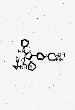 N#CC1(NC(=O)[C@@H]2CCCC[C@H]2c2nc(Nc3ccccc3)sc2-c2ccc(N3CCS(O)(O)CC3)cc2)CC1